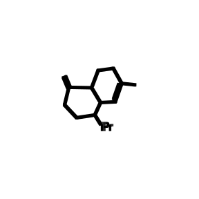 C=C1CCC(C(C)C)C2C=C(C)CCC12